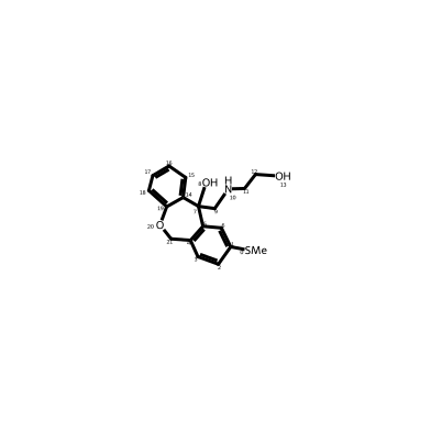 CSc1ccc2c(c1)C(O)(CNCCO)c1ccccc1OC2